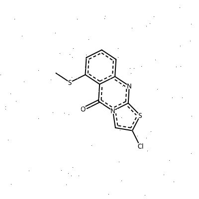 CSc1cccc2nc3sc(Cl)cn3c(=O)c12